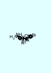 CCn1nc(-c2ccc(Br)cc2)c(O)c1-c1nc2cc(C(=N)N)ccc2[nH]1